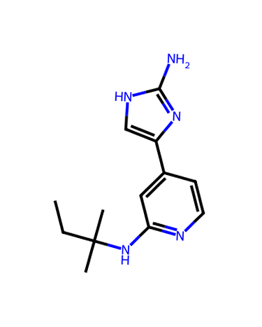 CCC(C)(C)Nc1cc(-c2c[nH]c(N)n2)ccn1